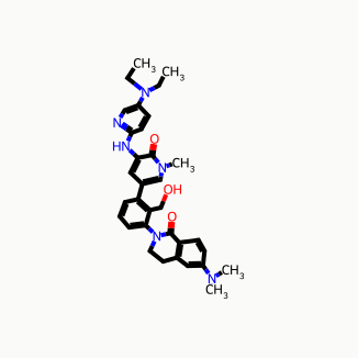 CCN(CC)c1ccc(Nc2cc(-c3cccc(N4CCc5cc(N(C)C)ccc5C4=O)c3CO)cn(C)c2=O)nc1